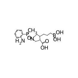 CP(ON1CC(CCCB(O)O)C(C(=O)O)C1)c1ccccc1N